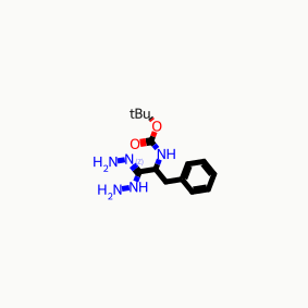 CC(C)(C)OC(=O)NC(Cc1ccccc1)/C(=N/N)NN